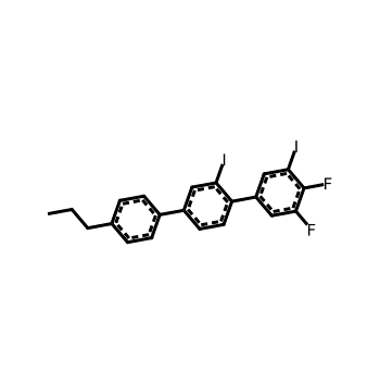 CCCc1ccc(-c2ccc(-c3cc(F)c(F)c(I)c3)c(I)c2)cc1